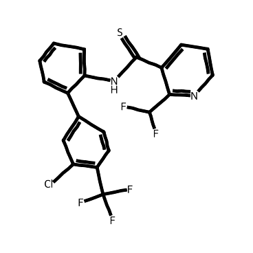 FC(F)c1ncccc1C(=S)Nc1ccccc1-c1ccc(C(F)(F)F)c(Cl)c1